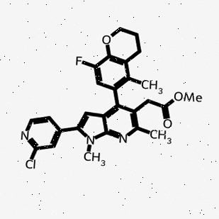 COC(=O)Cc1c(C)nc2c(cc(-c3ccnc(Cl)c3)n2C)c1-c1cc(F)c2c(c1C)CCCO2